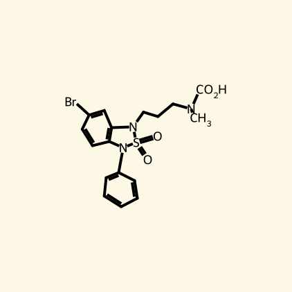 CN(CCCN1c2cc(Br)ccc2N(c2ccccc2)S1(=O)=O)C(=O)O